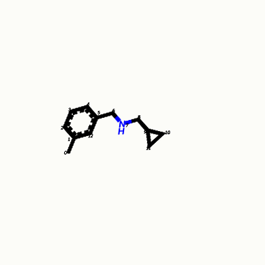 Cc1cccc(CNCC2CC2)c1